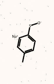 Cc1ccc(S[O-])cc1.[Na+]